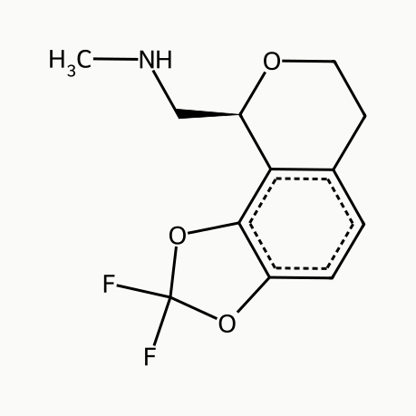 CNC[C@H]1OCCc2ccc3c(c21)OC(F)(F)O3